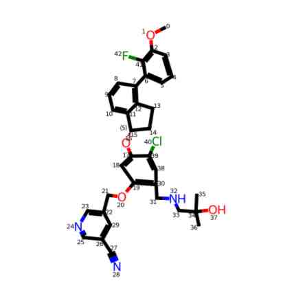 COc1cccc(-c2cccc3c2CC[C@@H]3Oc2cc(OCc3cncc(C#N)c3)c(CNCC(C)(C)O)cc2Cl)c1F